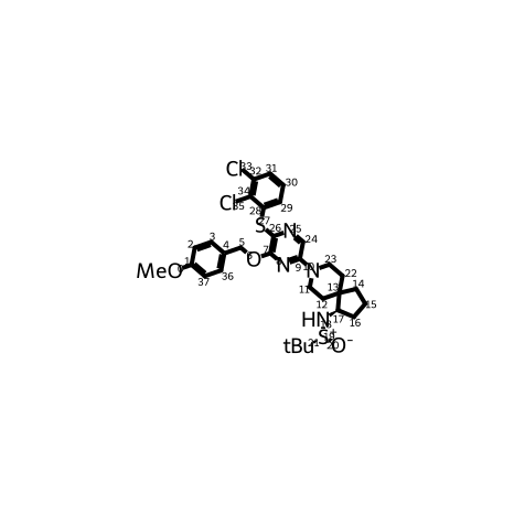 COc1ccc(COc2nc(N3CCC4(CCC[C@H]4N[S@+]([O-])C(C)(C)C)CC3)cnc2Sc2cccc(Cl)c2Cl)cc1